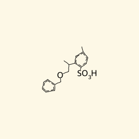 Cc1ccc(S(=O)(=O)O)c(C(C)COCc2ccccc2)c1